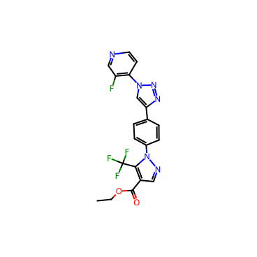 CCOC(=O)c1cnn(-c2ccc(-c3cn(-c4ccncc4F)nn3)cc2)c1C(F)(F)F